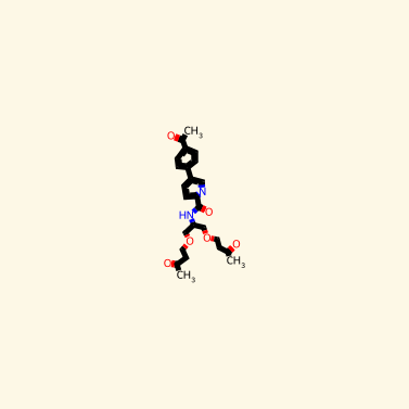 CC(=O)CCOCC(COCCC(C)=O)NC(=O)c1ccc(-c2ccc(C(C)=O)cc2)cn1